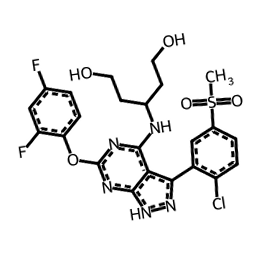 CS(=O)(=O)c1ccc(Cl)c(-c2n[nH]c3nc(Oc4ccc(F)cc4F)nc(NC(CCO)CCO)c23)c1